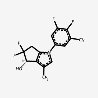 N#Cc1cc(-n2cc(C(F)(F)F)c3c2CC(F)(F)[C@H]3O)cc(F)c1F